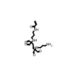 C=CC(=O)NCCCNC(C=O)(C=O)CCC(C=O)(C=O)NCCCN